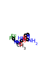 C[C@@H]1CN(Cc2cc(F)c(F)c(F)c2)CCN1C(=O)c1ccc(NS(=O)(=O)c2ccc(N)cc2-c2cccc3cccnc23)cc1